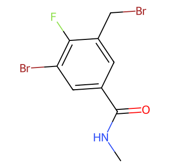 CNC(=O)c1cc(Br)c(F)c(CBr)c1